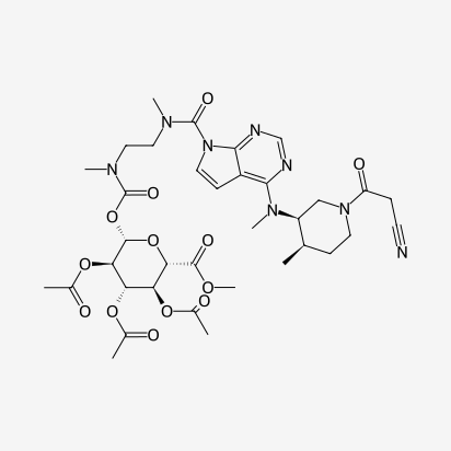 COC(=O)[C@H]1O[C@@H](OC(=O)N(C)CCN(C)C(=O)n2ccc3c(N(C)[C@H]4CN(C(=O)CC#N)CC[C@H]4C)ncnc32)[C@H](OC(C)=O)[C@@H](OC(C)=O)[C@@H]1OC(C)=O